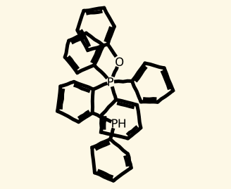 c1ccc(OP(c2ccccc2)(c2ccccc2)(c2ccccc2)c2ccccc2Pc2ccccc2)cc1